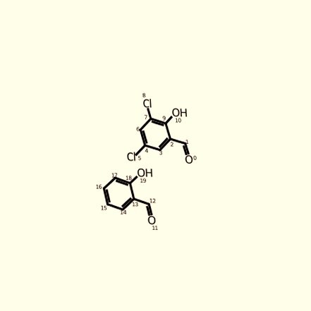 O=Cc1cc(Cl)cc(Cl)c1O.O=Cc1ccccc1O